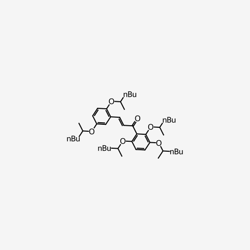 CCCCC(C)Oc1ccc(OC(C)CCCC)c(C=CC(=O)c2c(OC(C)CCCC)ccc(OC(C)CCCC)c2OC(C)CCCC)c1